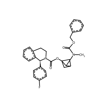 CN(C(=O)OCc1ccccc1)C1C2CC1(OC(=O)N1CCc3ccccc3[C@@H]1c1ccc(F)cc1)C2